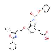 Cc1oc(-c2ccccc2)nc1CCOc1ccc(CCC(=O)O)c2c1CN(C(=O)COc1ccccc1)C2